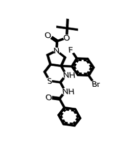 CC(C)(C)OC(=O)N1CC2CSC(NC(=O)c3ccccc3)NC2(c2cc(Br)ccc2F)C1